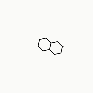 [CH]1CCC2[CH]CCCC2C1